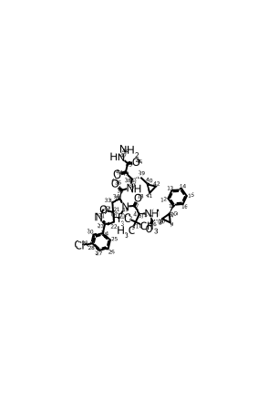 CC(C)(C)[C@H](NC(=O)[C@H]1C[C@@H]1c1ccccc1)C(=O)N1C[C@@]2(CC(c3cccc(Cl)c3)=NO2)C[C@H]1C(=O)N[C@@H](CC1CC1)C(=O)C(=O)NN